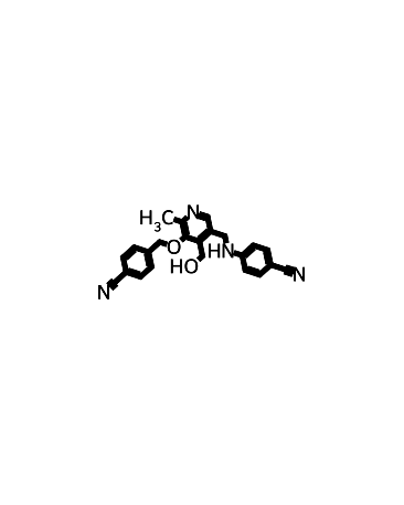 Cc1ncc(CNc2ccc(C#N)cc2)c(CO)c1OCc1ccc(C#N)cc1